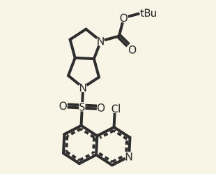 CC(C)(C)OC(=O)N1CCC2CN(S(=O)(=O)c3cccc4cncc(Cl)c34)CC21